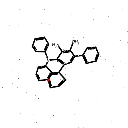 Nc1c(-c2ccccc2)cc(-c2ccccc2)c(N(c2ccccc2)c2ccccc2)c1N